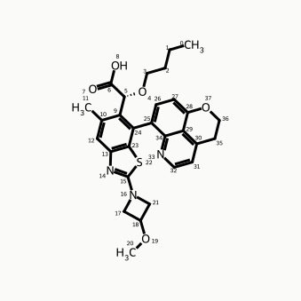 CCCCO[C@@H](C(=O)O)c1c(C)cc2nc(N3CC(OC)C3)sc2c1-c1ccc2c3c(ccnc13)CCO2